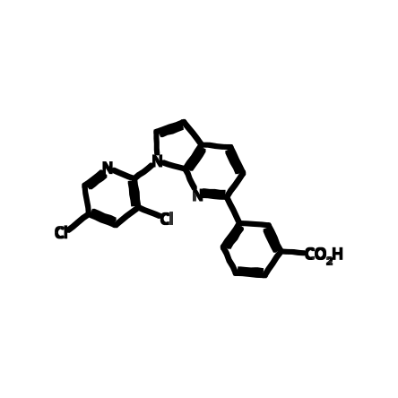 O=C(O)c1cccc(-c2ccc3ccn(-c4ncc(Cl)cc4Cl)c3n2)c1